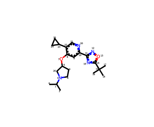 CC(C)N1CCC(Oc2cc(-c3noc(C(C)(C)C)n3)ncc2C2CC2)C1